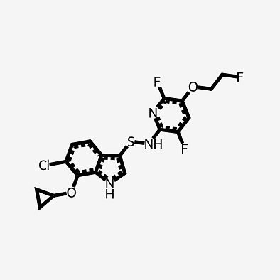 FCCOc1cc(F)c(NSc2c[nH]c3c(OC4CC4)c(Cl)ccc23)nc1F